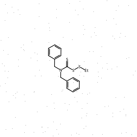 CCSSC(=S)N(Cc1ccccc1)Cc1ccccc1